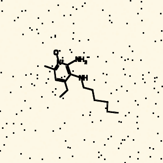 CCCCCCNc1c(CC)cc(C)[n+]([O-])c1N